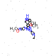 C=CC(=O)N1CC2(CCN(c3nc(N4CC5(CCN(CC6CC6)CC5)C4)nc4c(OCC(F)(F)F)c(-c5c(C)ccc6[nH]ncc56)c(C5CC5)cc34)CC2)C1